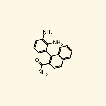 NC(=O)c1ccc2ccccc2c1-c1cccc(N)c1N